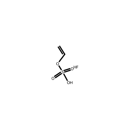 C=COS(=O)(=O)O.F